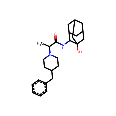 CC(C(=O)NC1C2CC3CC(C2)CC1(O)C3)N1CCC(Cc2ccccc2)CC1